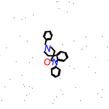 O=C1N(c2ccccc2)c2ccccc2C12CCN(Cc1ccccc1)CC2